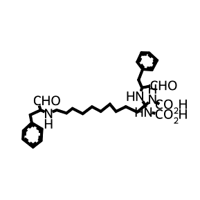 O=CC(Cc1ccccc1)NCCCCCCCCCCC(NC(=O)O)(NC(=O)O)NC(C=O)Cc1ccccc1